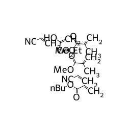 C=C(C)C(=O)OC.C=C(C)C(=O)OC.C=C(O)C(=O)OCC.C=CC#N.C=CC#N.C=CC(=O)OCCCC